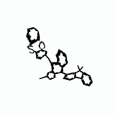 Cc1ccc2c(-c3ccc4c(c3)C(C)(C)c3ccccc3-4)c3ccccc3c(-c3ccc4c(c3)Oc3ccccc3S4)c2c1